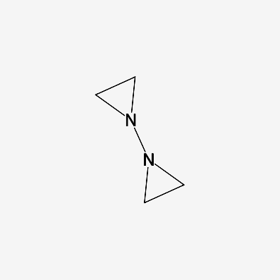 C1CN1N1CC1